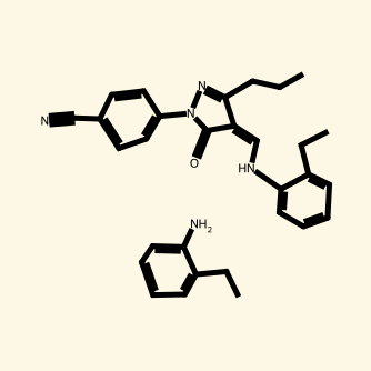 CCCC1=NN(c2ccc(C#N)cc2)C(=O)C1=CNc1ccccc1CC.CCc1ccccc1N